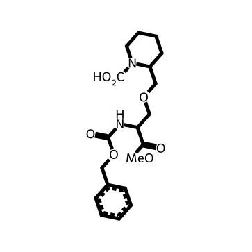 COC(=O)C(COCC1CCCCN1C(=O)O)NC(=O)OCc1ccccc1